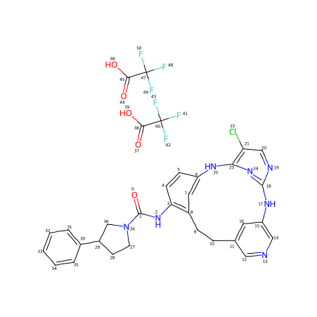 O=C(Nc1ccc2cc1CCc1cncc(c1)Nc1ncc(Cl)c(n1)N2)N1CCC(c2ccccc2)C1.O=C(O)C(F)(F)F.O=C(O)C(F)(F)F